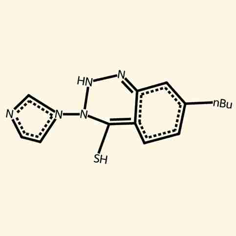 CCCCc1ccc2c(c1)=NNN(n1ccnc1)C=2S